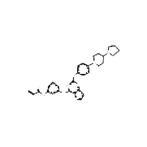 C=CC(=O)Nc1cccc(Oc2nc(Nc3ccc(N4CCC(N5CCCC5)CC4)cc3)nc3ccsc23)c1